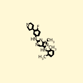 Cc1cccc(C)c1Nc1nn(C)c2nc(Nc3ccc(F)c(C4=CCN=CC4)c3)ncc12